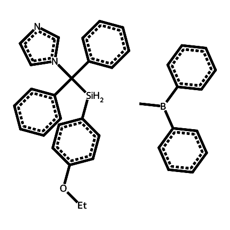 CB(c1ccccc1)c1ccccc1.CCOc1ccc([SiH2]C(c2ccccc2)(c2ccccc2)n2ccnc2)cc1